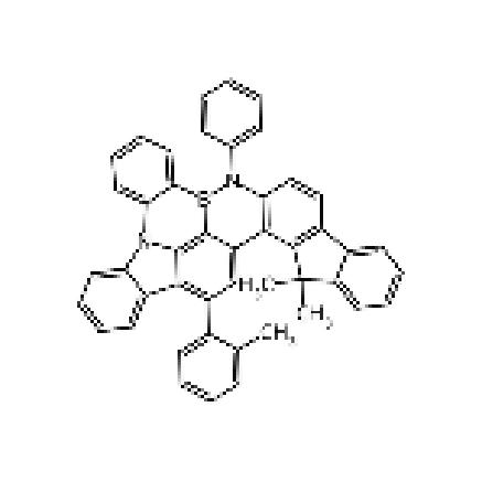 Cc1ccccc1-c1cc2c3c4c1c1ccccc1n4-c1ccccc1B3N(c1ccccc1)c1ccc3c(c1-2)C(C)(C)c1ccccc1-3